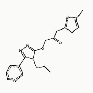 CCCC1C(SCC(=O)CC2=NC(C)=CC2)=NN=C1c1cccnc1